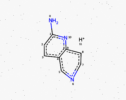 Nc1ccc2cnccc2n1.[H+]